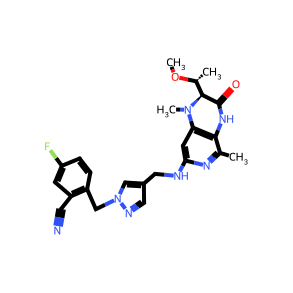 CO[C@H](C)[C@H]1C(=O)Nc2c(cc(NCc3cnn(Cc4ccc(F)cc4C#N)c3)nc2C)N1C